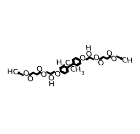 C#CCOC(=O)CCC(=O)OCC(O)COc1ccc(C(C)(C)c2ccc(OCC(O)COC(=O)CCC(=O)OCC#C)cc2)cc1